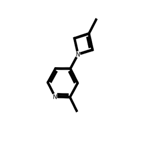 CC1=CN(c2ccnc(C)c2)C1